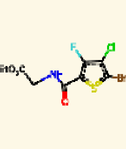 CCOC(=O)CNC(=O)c1sc(Br)c(Cl)c1F